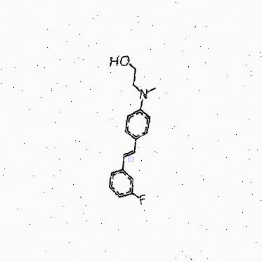 CN(CCO)c1ccc(/C=C/c2cccc(F)c2)cc1